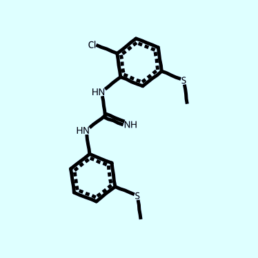 CSc1cccc(NC(=N)Nc2cc(SC)ccc2Cl)c1